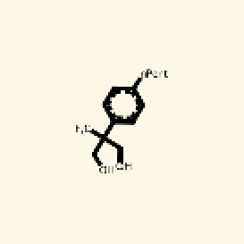 CCCCCc1ccc(C(CO)(CO)C(F)(F)F)cc1